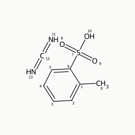 Cc1ccccc1S(=O)(=O)O.N=C=N